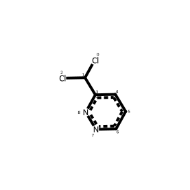 ClC(Cl)c1cccnn1